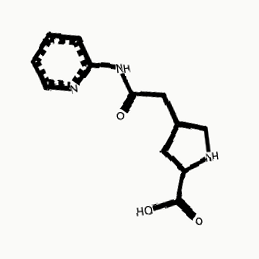 O=C(CC1CNC(C(=O)O)C1)Nc1ccccn1